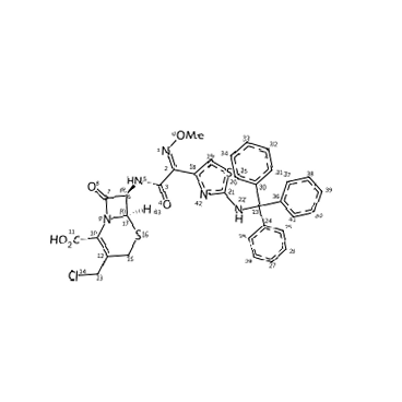 CON=C(C(=O)N[C@@H]1C(=O)N2C(C(=O)O)=C(CCl)CS[C@H]12)c1csc(NC(c2ccccc2)(c2ccccc2)c2ccccc2)n1